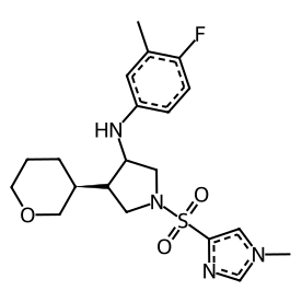 Cc1cc(NC2CN(S(=O)(=O)c3cn(C)cn3)CC2[C@@H]2CCCOC2)ccc1F